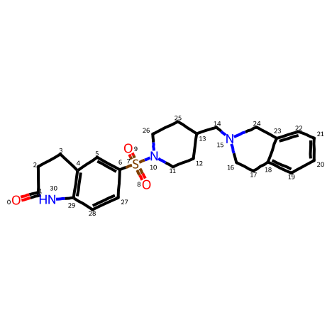 O=C1CCc2cc(S(=O)(=O)N3CCC(CN4CCc5ccccc5C4)CC3)ccc2N1